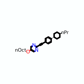 CCCCCCCCOc1cnc(C#Cc2ccc([C@H]3CC[C@H](CCC)CC3)cc2)nc1